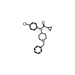 O=C(C1CC1)N(c1ccc(Cl)cc1)C1CCN(Cc2ccccc2)CC1